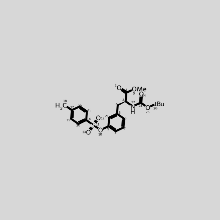 COC(=O)[C@H](Cc1cccc(OS(=O)(=O)c2ccc(C)cc2)c1)NC(=O)OC(C)(C)C